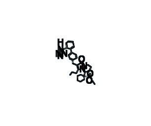 CCCc1c(Cc2ccc(-c3ccccc3-c3nnn[nH]3)cc2)c(=O)n2n1C(C1(C(=O)OCC)CCCCC1)CCC2